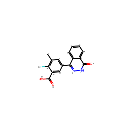 Cc1cc(-c2n[nH]c(=O)c3ccccc23)cc(C(=O)O)c1F